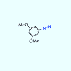 COc1cc([N+]#N)cc(OC)c1